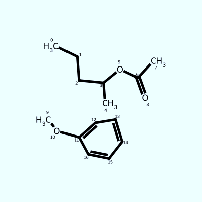 CCCC(C)OC(C)=O.COc1ccccc1